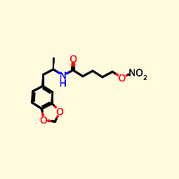 C[C@H](Cc1ccc2c(c1)OCO2)NC(=O)CCCCO[N+](=O)[O-]